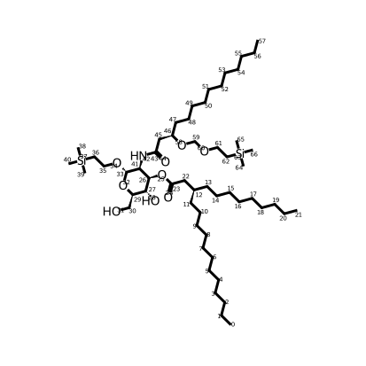 CCCCCCCCCCCC[C@H](CCCCCCCCC)CC(=O)O[C@H]1[C@H](O)[C@@H](CO)O[C@H](OCC[Si](C)(C)C)[C@H]1NC(=O)C[C@@H](CCCCCCCCCCC)OCOCC[Si](C)(C)C